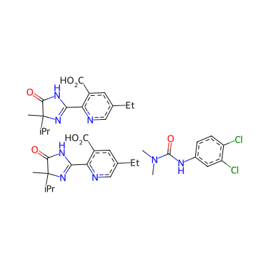 CCc1cnc(C2=NC(C)(C(C)C)C(=O)N2)c(C(=O)O)c1.CCc1cnc(C2=NC(C)(C(C)C)C(=O)N2)c(C(=O)O)c1.CN(C)C(=O)Nc1ccc(Cl)c(Cl)c1